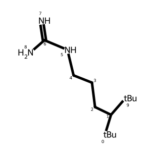 CC(C)(C)C(CCCNC(=N)N)C(C)(C)C